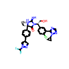 CC(C)(C)C[C@]1(c2ccc(-c3cnn(C(F)F)c3)cc2)NC(=N)N([C@H](CO)c2ccc(Cl)c(-c3ncnn3C3CC3)c2)C1=O